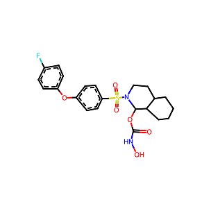 O=C(NO)OC1C2CCCCC2CCN1S(=O)(=O)c1ccc(Oc2ccc(F)cc2)cc1